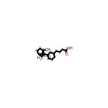 CCCC(=O)CCCC1CCCC(C2CC3CCC2(C)C3(C)C)C1